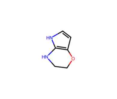 c1cc2c([nH]1)NCCO2